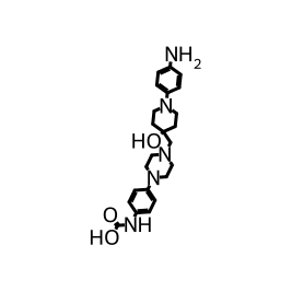 Nc1ccc(N2CCC(O)(CN3CCN(c4ccc(NC(=O)O)cc4)CC3)CC2)cc1